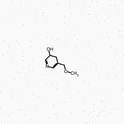 COCC1=CN=CC(O)C1